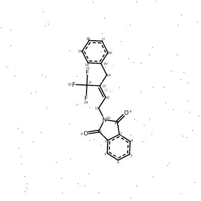 O=C1c2ccccc2C(=O)N1C/C=C(/Cc1ccccc1)C(F)(F)F